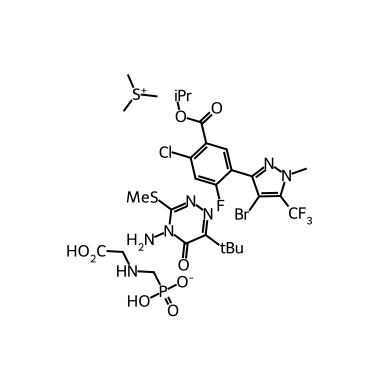 CC(C)OC(=O)c1cc(-c2nn(C)c(C(F)(F)F)c2Br)c(F)cc1Cl.CSc1nnc(C(C)(C)C)c(=O)n1N.C[S+](C)C.O=C(O)CNCP(=O)([O-])O